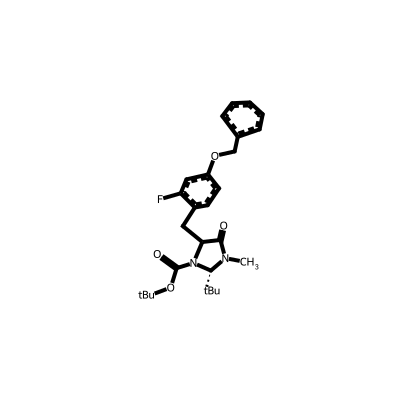 CN1C(=O)C(Cc2ccc(OCc3ccccc3)cc2F)N(C(=O)OC(C)(C)C)[C@H]1C(C)(C)C